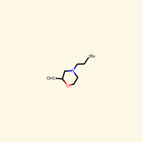 CC(C)(C)CCN1CCOC(C=O)C1